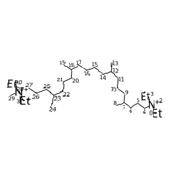 CC[N+](C)(CC)CCCC(C)CCCC(C)CCCCC(C)CCCC(C)CCC[N+](C)(CC)CC